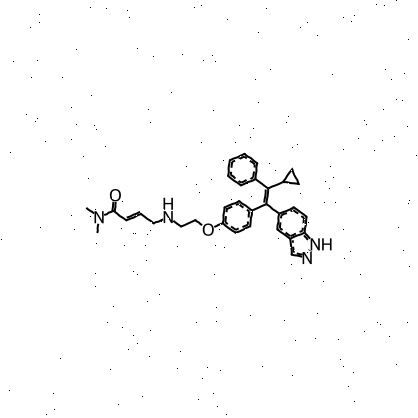 CN(C)C(=O)/C=C/CNCCOc1ccc(/C(=C(\c2ccccc2)C2CC2)c2ccc3[nH]ncc3c2)cc1